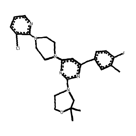 Cc1cc(-c2cc(N3CCN(c4ncccc4Cl)CC3)nc(N3CCOC(C)(C)C3)n2)ccc1F